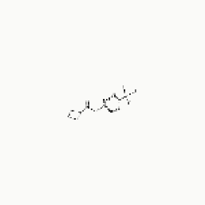 FC(F)(F)c1ccc(CNC2CCC2)nn1